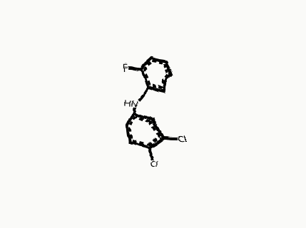 Fc1ccccc1Nc1ccc(Cl)c(Cl)c1